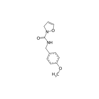 COc1ccc(CNC(=O)N2CC=CO2)cc1